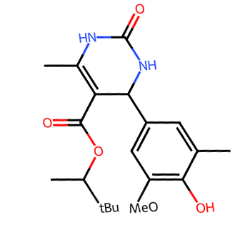 COc1cc(C2NC(=O)NC(C)=C2C(=O)OC(C)C(C)(C)C)cc(C)c1O